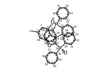 Cc1cc(C)c2c(-c3ccccc3P(=O)(c3ccccc3)c3ccccc3)c(P(=O)(c3ccccc3)c3ccccc3)oc2c1